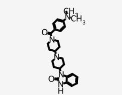 CN(C)c1ccc(C(=O)N2CCC(N3CCC(n4c(=O)[nH]c5ccccc54)CC3)CC2)cc1